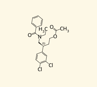 CCN(C[C@@H](CCOC(C)=O)c1ccc(Cl)c(Cl)c1)C(=O)c1ccccc1